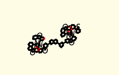 c1cc(-c2ccc3ccc(-c4ccc5c(c4)oc4cccc(-c6nc(-c7cccc8oc9ccccc9c78)nc(-c7cccc8ccc9oc%10ccccc%10c9c78)n6)c45)cc3c2)cc(-c2ccc3c(c2)oc2cccc(-c4nc(-c5cccc6sc7ccccc7c56)nc(-c5cccc6ccc7oc8ccccc8c7c56)n4)c23)c1